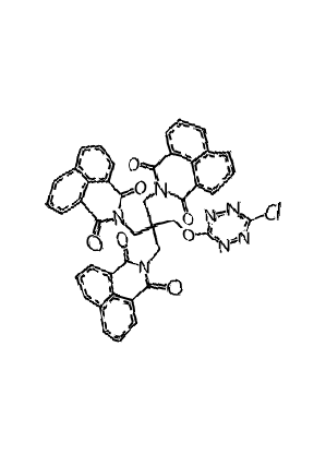 O=C1c2cccc3cccc(c23)C(=O)N1CC(COc1nnc(Cl)nn1)(CN1C(=O)c2cccc3cccc(c23)C1=O)CN1C(=O)c2cccc3cccc(c23)C1=O